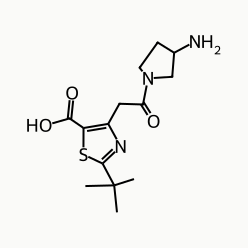 CC(C)(C)c1nc(CC(=O)N2CCC(N)C2)c(C(=O)O)s1